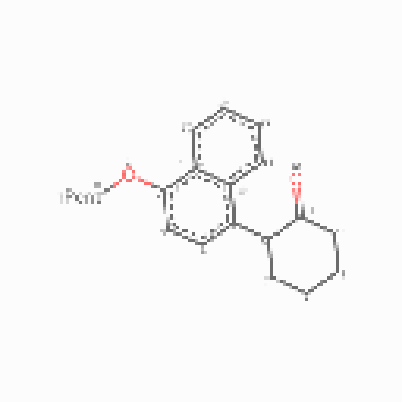 C[CH]CCCOc1ccc(C2CCCCC2=O)c2ccccc12